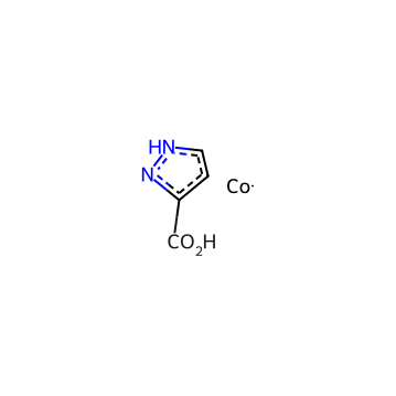 O=C(O)c1cc[nH]n1.[Co]